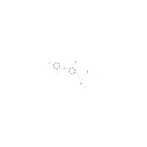 COC(=O)CCN(CCC(=O)OC)c1ccc(/N=N/c2ccc([N+](=O)[O-])cc2[N+](=O)[O-])c(NC(C)=O)c1